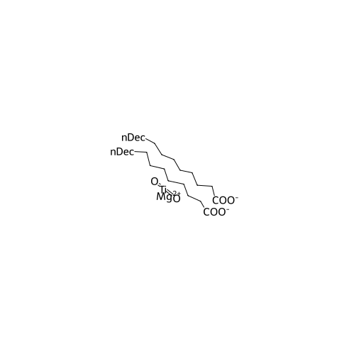 CCCCCCCCCCCCCCCCCC(=O)[O-].CCCCCCCCCCCCCCCCCC(=O)[O-].[Mg+2].[O]=[Ti]=[O]